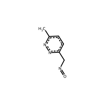 Cc1ccc(CN=O)nn1